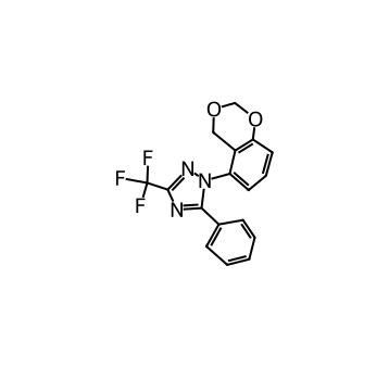 FC(F)(F)c1nc(-c2ccccc2)n(-c2cccc3c2COCO3)n1